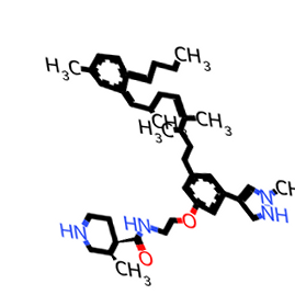 CCC/C=c1\ccc(C)c\c1=C\C(C)C/C=C(/C)C(C)CCc1cc(OCCNC(=O)[C@@H]2CCNC[C@@H]2C)cc(C2=CN(C)NC2)c1